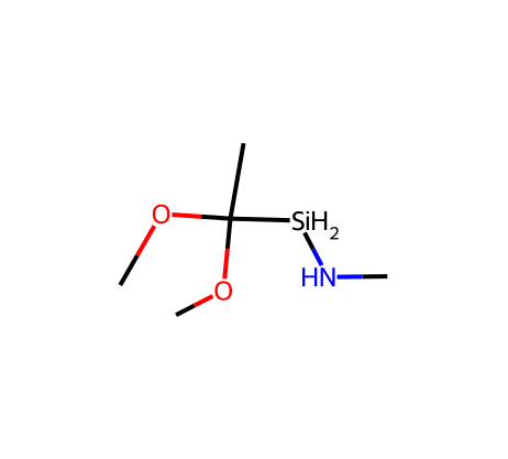 CN[SiH2]C(C)(OC)OC